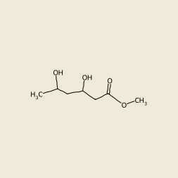 COC(=O)CC(O)CC(C)O